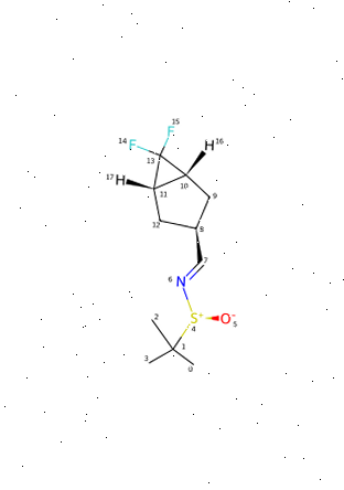 CC(C)(C)[S@+]([O-])/N=C/[C@@H]1C[C@@H]2[C@H](C1)C2(F)F